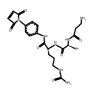 CC(C)[C@H](NC(=O)CCN)C(=O)N[C@@H](CCCNC(N)=O)C(=O)Nc1ccc(N2C(=O)C=CC2=O)cc1